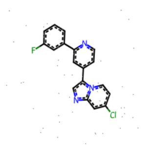 Fc1cccc(-c2cc(-c3cnc4cc(Cl)ccn34)ccn2)c1